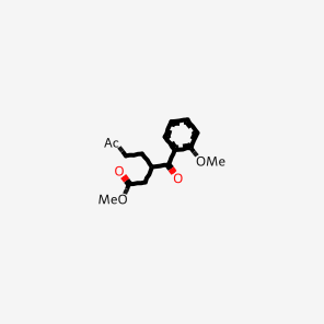 COC(=O)CC(CCC(C)=O)C(=O)c1ccccc1OC